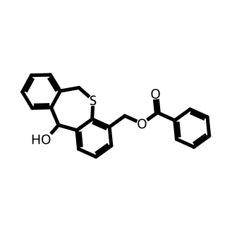 O=C(OCc1cccc2c1SCc1ccccc1C2O)c1ccccc1